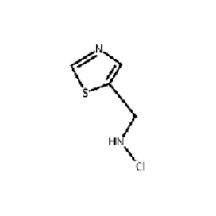 ClNCc1cncs1